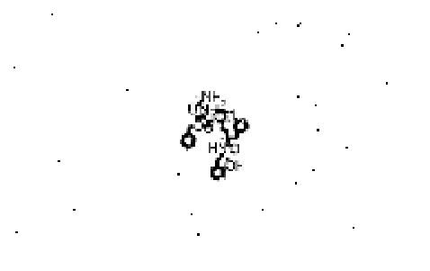 C[C@H](N)C(=O)N[C@H](C(=O)N1CCC[C@H]1/C=C/[C@@](C)(Cc1cccc(Cl)c1)C(=O)N[C@H](CO)Cc1ccccc1)[C@@H](C)OCc1ccccc1